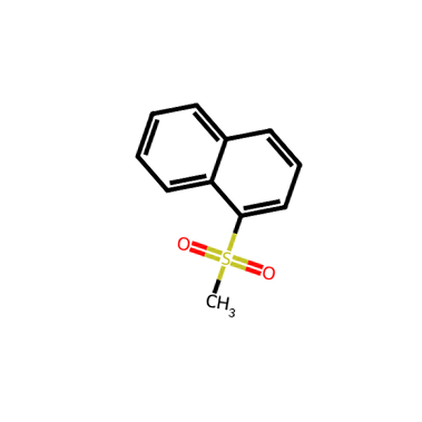 CS(=O)(=O)c1cccc2ccccc12